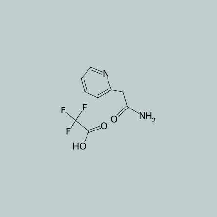 NC(=O)Cc1ccccn1.O=C(O)C(F)(F)F